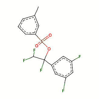 Cc1cccc(S(=O)(=O)OC(F)(c2cc(F)cc(F)c2)C(F)F)c1